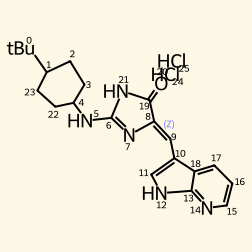 CC(C)(C)C1CCC(NC2=N/C(=C\c3c[nH]c4ncccc34)C(=O)N2)CC1.Cl.Cl